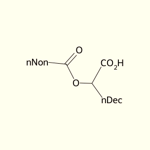 CCCCCCCCCCC(OC(=O)CCCCCCCCC)C(=O)O